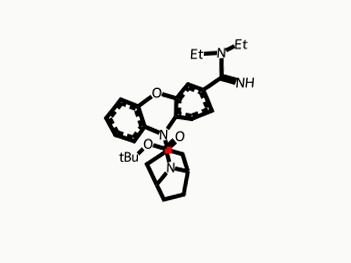 CCN(CC)C(=N)c1ccc2c(c1)Oc1ccccc1N2C1CC2CCC(C1)N2C(=O)OC(C)(C)C